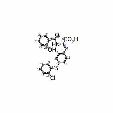 O=C(O)/C(=C/c1ccc(Sc2ccccc2Cl)cc1)NC(=O)c1ccccc1O